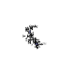 COC(=O)c1cnn(C)c1/N=N/c1c(C)nn(-c2nc(O)cc(-n3nc(C)c(/N=N/c4c(C(=O)CO)cnn4C)c3N)n2)c1N